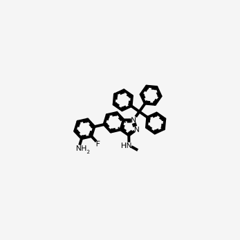 CNc1nn(C(c2ccccc2)(c2ccccc2)c2ccccc2)c2ccc(-c3cccc(N)c3F)cc12